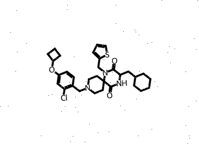 O=C1C(CC2CCCCC2)NC(=O)C2(CCN(Cc3ccc(OC4CCC4)cc3Cl)CC2)N1Cc1cccs1